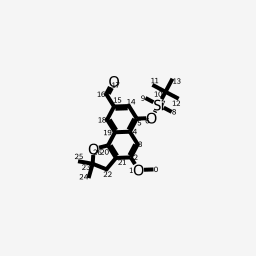 COc1cc2c(O[Si](C)(C)C(C)(C)C)cc(C=O)cc2c2c1CC(C)(C)O2